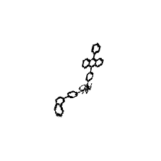 c1ccc(-c2c3ccccc3c(-c3ccc(-c4nnc(-c5ccc(-c6ccc7ccccc7c6)cc5)o4)cc3)c3ccccc23)cc1